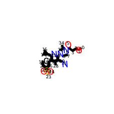 COCCC(=O)N1CCN(c2nc(C3CC3)c(-c3cccc(S(C)(=O)=O)c3)c(C)c2C#N)CC1C